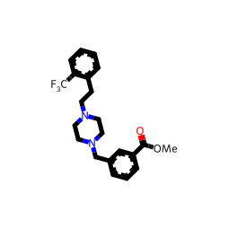 COC(=O)c1cccc(CN2CCN(CCc3ccccc3C(F)(F)F)CC2)c1